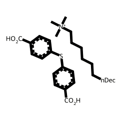 CCCCCCCCCCCCCCCC[N+](C)(C)C.O=C(O)c1ccc(Sc2ccc(C(=O)O)cc2)cc1